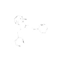 O=C(OCc1ccccc1)[C@H]1C2C=CC(CC2)N1CCc1ccccc1